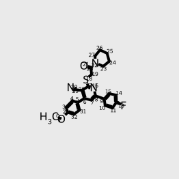 COc1ccc(-c2cc(-c3ccc(F)cc3)nc(SCC(=O)N3CCCCC3)c2C#N)cc1